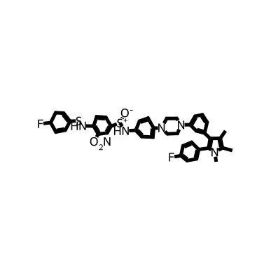 Cc1c(-c2cccc(N3CCN(c4ccc(N[S+]([O-])c5ccc(NSC6=CCC(F)C=C6)c([N+](=O)[O-])c5)cc4)CC3)c2)c(-c2ccc(F)cc2)n(C)c1C